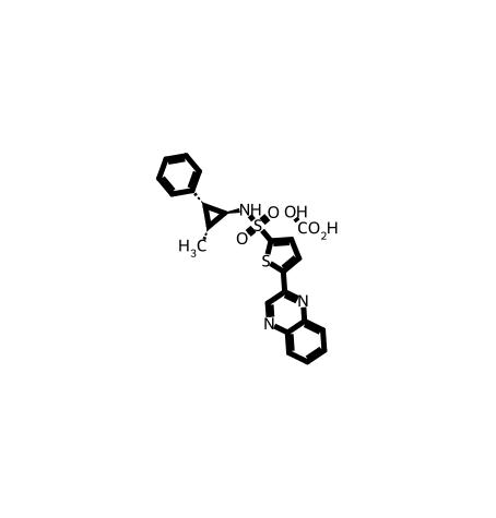 C[C@H]1[C@H](NS(=O)(=O)c2ccc(-c3cnc4ccccc4n3)s2)[C@H]1c1ccccc1.O=C(O)O